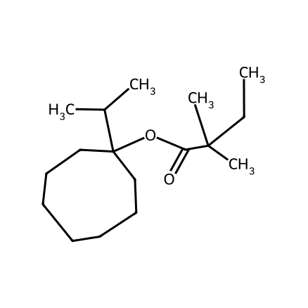 CCC(C)(C)C(=O)OC1(C(C)C)CCCCCCC1